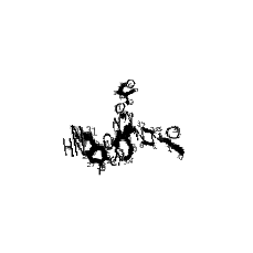 C=CC(=O)N1CCN(c2nc(OC[C@H]3CCOC3)nc3c(Oc4c(Cl)c(F)cc5[nH]ncc45)nccc23)CC1